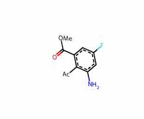 COC(=O)c1cc(F)cc(N)c1C(C)=O